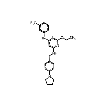 FC(F)(F)COc1nc(NCc2ccc(N3CCCC3)cc2)nc(Nc2cccc(C(F)(F)F)c2)n1